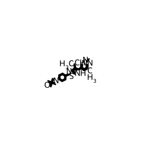 Cc1cc(-c2[nH]c3sc(C4CCC(N5CC6(COC6)C5)CC4)nc3c2C(C)C)cn2ncnc12